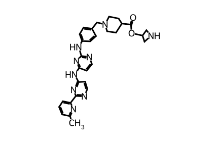 Cc1cccc(-c2nccc(Nc3ccnc(Nc4ccc(CN5CCC(C(=O)OC6CNC6)CC5)cc4)n3)n2)n1